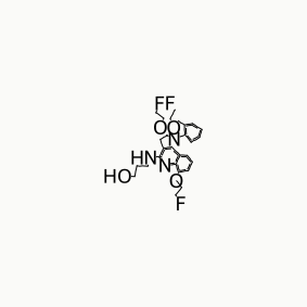 Cc1ccccc1N1c2c(c(NCCCO)nc3c(OCCF)cccc23)CC1(OCCF)OCCF